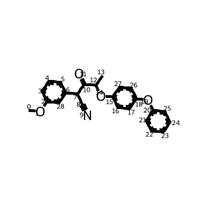 COc1cccc(C(C#N)C(=O)C(C)Oc2ccc(Oc3ccccc3)cc2)c1